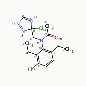 CCc1ccc(Cl)c(CC)c1N(CC1(Cl)N=CN=N1)C(C)=O